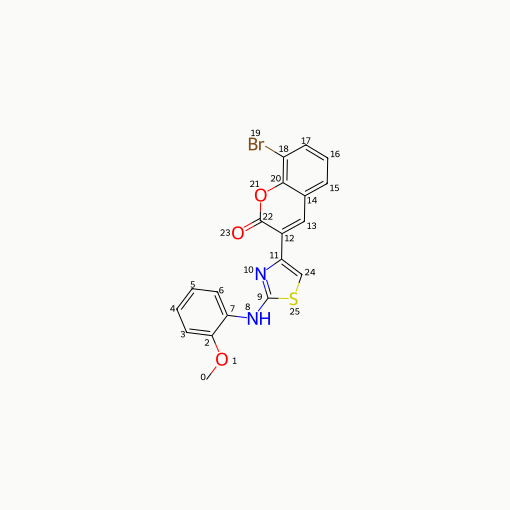 COc1ccccc1Nc1nc(-c2cc3cccc(Br)c3oc2=O)cs1